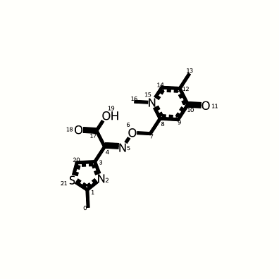 Cc1nc(/C(=N/OCc2cc(=O)c(C)cn2C)C(=O)O)cs1